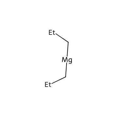 CC[CH2][Mg][CH2]CC